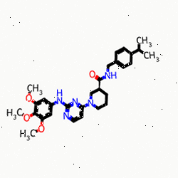 COc1cc(Nc2nccc(N3CCC[C@H](C(=O)NCC4=CCC(C(C)C)C=C4)C3)n2)cc(OC)c1OC